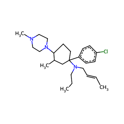 CC=CCN(CCC)C1(c2ccc(Cl)cc2)CCC(N2CCN(C)CC2)C(C)C1